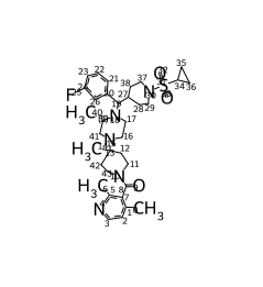 Cc1ccnc(C)c1C(=O)N1CCC(C)(N2CCN(C(c3cccc(F)c3)C3CCN(S(=O)(=O)C4CC4)CC3)[C@@H](C)C2)CC1